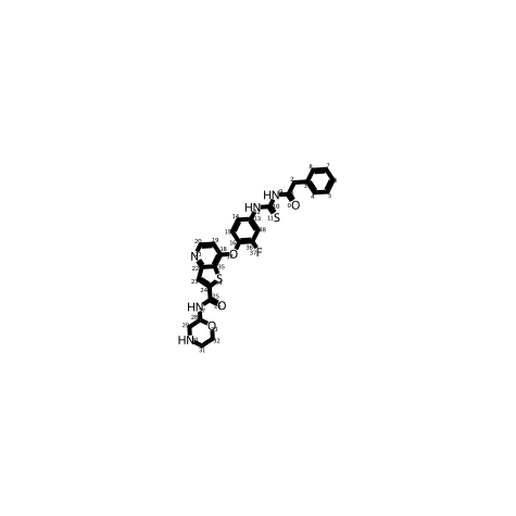 O=C(Cc1ccccc1)NC(=S)Nc1ccc(Oc2ccnc3cc(C(=O)NC4CNCCO4)sc23)c(F)c1